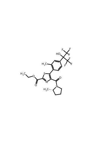 CCOC(=O)c1nc(C(=O)N2CCC[C@@H]2C)c(-c2ccc(C(O)(C(F)(F)F)C(F)(F)F)cc2C)s1